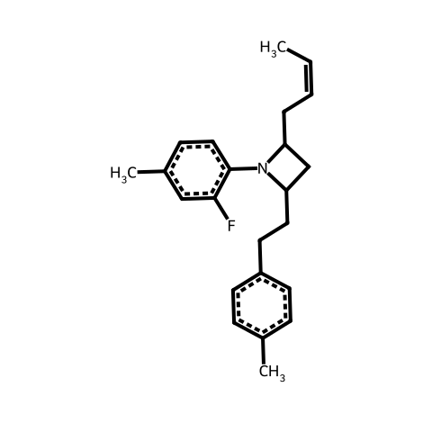 C/C=C\CC1CC(CCc2ccc(C)cc2)N1c1ccc(C)cc1F